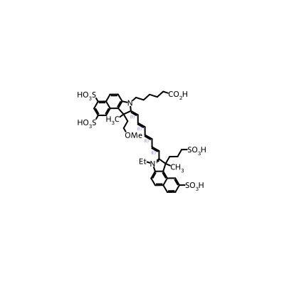 CC[N+]1=C(/C=C/C=C/C=C/C=C2/N(CCCCCC(=O)O)c3ccc4c(S(=O)(=O)O)cc(S(=O)(=O)O)cc4c3C2(C)CCOC)C(C)(CCCS(=O)(=O)O)c2c1ccc1ccc(S(=O)(=O)O)cc21